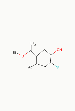 C=C(OCC)C1CC(O)C(F)CC1C(C)=O